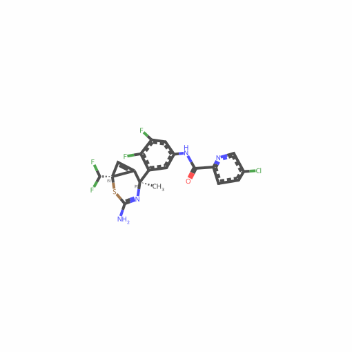 C[C@]1(c2cc(NC(=O)c3ccc(Cl)cn3)cc(F)c2F)N=C(N)S[C@@]2(C(F)F)C=C12